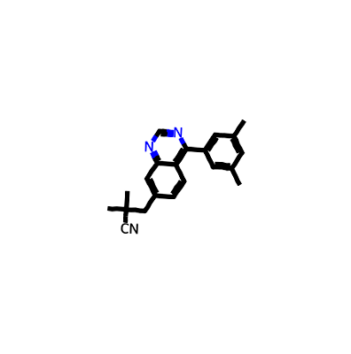 Cc1cc(C)cc(-c2ncnc3cc(CC(C)(C)C#N)ccc23)c1